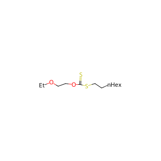 CCCCCCCCSC(=S)OCCOCC